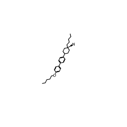 CCCCCOc1ccc(-c2ccc(C3CCC(C#N)(CCCCC)CC3)cc2)cc1